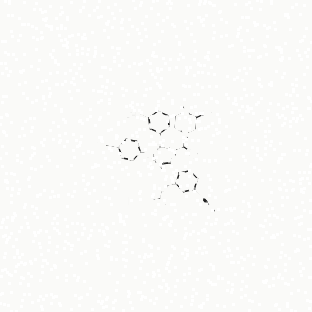 CC(C)Oc1cc(C#N)ccc1C1=N[C@@H](c2ccc(Cl)cc2)[C@@H](c2cccc(Br)c2)N1C(=O)N1CCNC(=O)C1